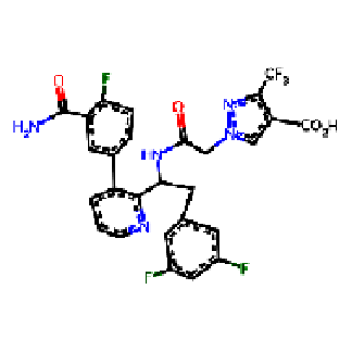 NC(=O)c1cc(-c2cccnc2C(Cc2cc(F)cc(F)c2)NC(=O)Cn2cc(C(=O)O)c(C(F)(F)F)n2)ccc1F